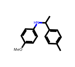 COc1ccc(NC(C)c2ccc(C)cc2)cc1